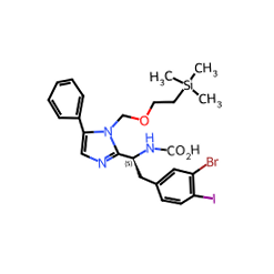 C[Si](C)(C)CCOCn1c(-c2ccccc2)cnc1[C@H](Cc1ccc(I)c(Br)c1)NC(=O)O